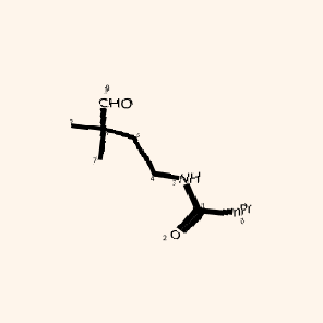 CCCC(=O)NCCC(C)(C)C=O